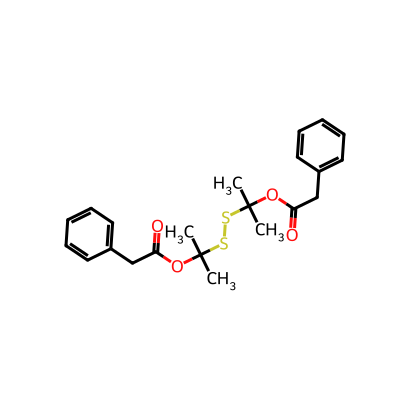 CC(C)(OC(=O)Cc1ccccc1)SSC(C)(C)OC(=O)Cc1ccccc1